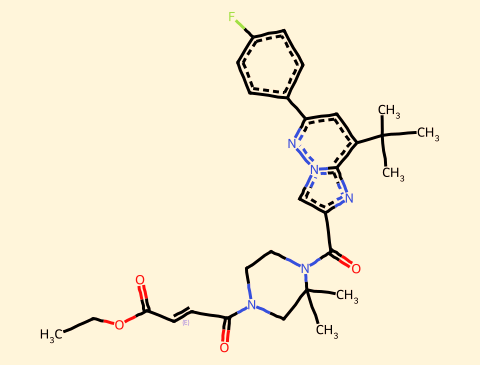 CCOC(=O)/C=C/C(=O)N1CCN(C(=O)c2cn3nc(-c4ccc(F)cc4)cc(C(C)(C)C)c3n2)C(C)(C)C1